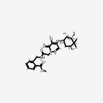 COC(=O)c1ccccc1CNC(=O)Cn1ncc(N[C@@H]2C[C@H](C)C(C)(C)[C@H](C)[C@H]2C)c(Cl)c1=O